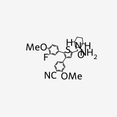 COc1ccc(-c2sc(C(=O)N3[C@H]4CC[C@@H]3[C@H](N)C4)cc2-c2ccc(C#N)c(OC)c2)cc1F